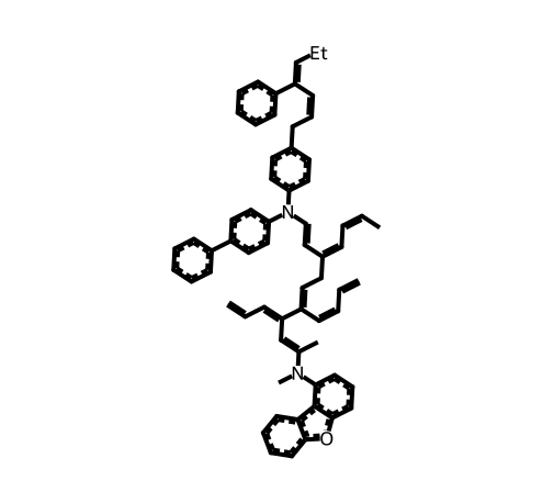 C=C\C=C/C(=C\CC(=C/C=C\C)/C=C/N(c1ccc(C/C=C\C(=C/CC)c2ccccc2)cc1)c1ccc(-c2ccccc2)cc1)C(=C/C=C)/C=C(\C)N(C)c1cccc2oc3ccccc3c12